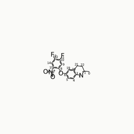 CC1=Nc2ccc(Oc3cc(F)c(F)cc3[N+](=O)[O-])cc2CC1